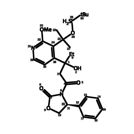 CCC(O)(CC(=O)N1C(=O)OC[C@@H]1c1ccccc1)c1ccnc(OC)c1C(C)(C)O[SiH2]C(C)(C)C